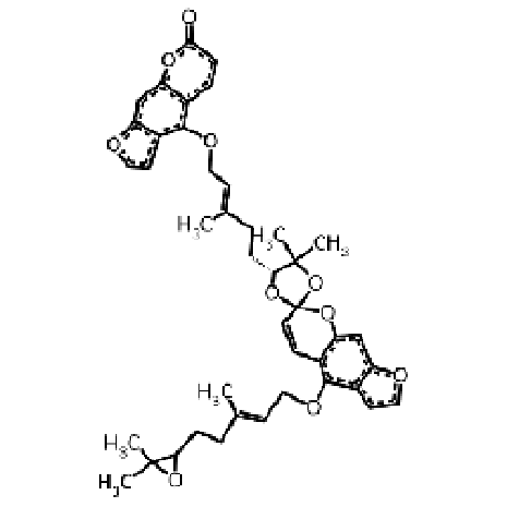 C/C(=C\COc1c2c(cc3occc13)O[C@@]1(C=C2)O[C@H](CC/C(C)=C/COc2c3ccoc3cc3oc(=O)ccc23)C(C)(C)O1)CCC1OC1(C)C